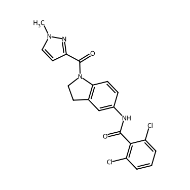 Cn1ccc(C(=O)N2CCc3cc(NC(=O)c4c(Cl)cccc4Cl)ccc32)n1